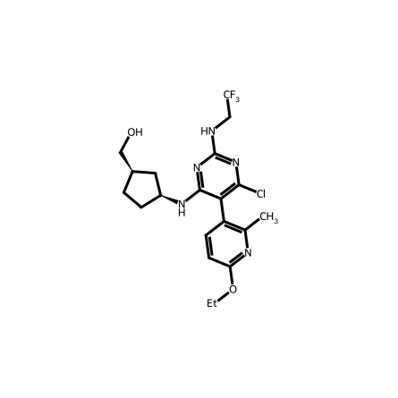 CCOc1ccc(-c2c(Cl)nc(NCC(F)(F)F)nc2N[C@H]2CC[C@@H](CO)C2)c(C)n1